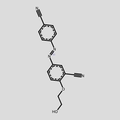 N#Cc1ccc(/N=N/c2ccc(OCCO)c(C#N)c2)cc1